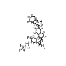 COc1cc(C2CC(C(F)(F)F)C2)c(F)cc1-n1c(=O)ccc2cc(S(=O)(=O)Nc3ncccn3)ccc21